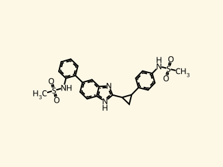 CS(=O)(=O)Nc1ccc(C2CC2c2nc3cc(-c4ccccc4NS(C)(=O)=O)ccc3[nH]2)cc1